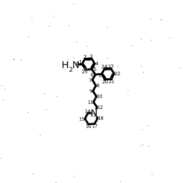 Nc1cccc(C(CCCCCCN2CCCCC2)c2ccccc2)c1